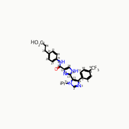 CC(C)n1cnc(-c2ccc(C(F)(F)F)cc2)c1-c1nc(C(=O)Nc2ccc(CCC(=O)O)cc2)c[nH]1